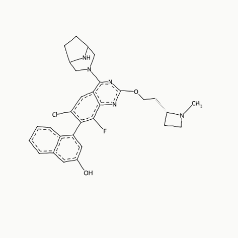 CN1CC[C@@H]1CCOc1nc(N2CC3CCC(C2)N3)c2cc(Cl)c(-c3cc(O)cc4ccccc34)c(F)c2n1